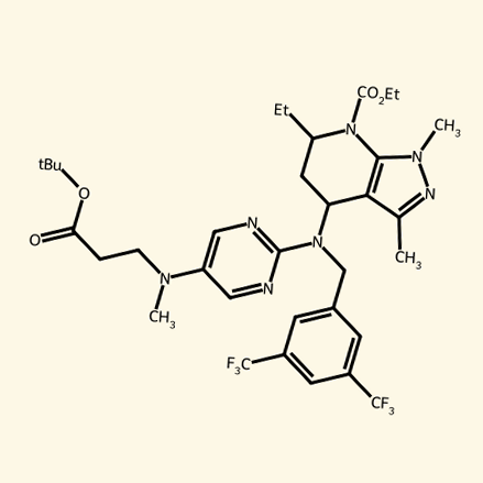 CCOC(=O)N1c2c(c(C)nn2C)C(N(Cc2cc(C(F)(F)F)cc(C(F)(F)F)c2)c2ncc(N(C)CCC(=O)OC(C)(C)C)cn2)CC1CC